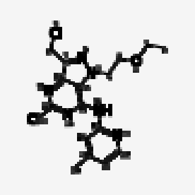 CCOCCn1nc(CCl)c2nc(Cl)nc(Nc3cc(C)ccn3)c21